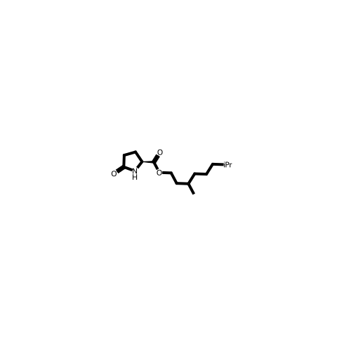 CC(C)CCCC(C)CCOC(=O)[C@@H]1CCC(=O)N1